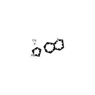 [Cu].[F].c1cc[nH]c1.c1ccc2ncccc2c1